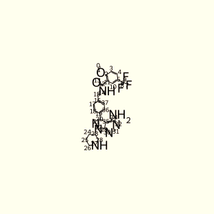 COc1ccc(C(F)(F)F)cc1C(=O)NCc1ccc(-c2nn([C@@H]3CCCNC3)c3ncnc(N)c23)cc1